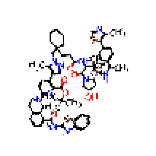 Cc1ncsc1-c1ccc([C@H](C)NC(=O)[C@@H]2C[C@@H](O)CN2C(=O)[C@@H](NC(=O)CCC2(Cn3ncc(-c4ccc(N5CCc6cccc(C(=O)Nc7nc8ccccc8s7)c6C5)nc4C(=O)OC(C)(C)C)c3C)CCCCC2)C(C)(C)C)cc1